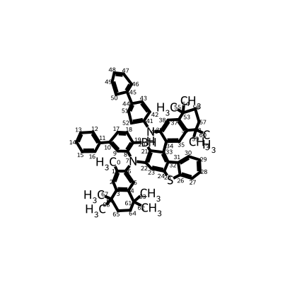 Cc1cc2c(cc1N1c3cc(-c4ccccc4)ccc3Bc3c1cc1sc4ccccc4c1c3-c1cc3c(cc1Nc1ccc(-c4ccccc4)cc1)C(C)(C)CCC3(C)C)C(C)(C)CCC2(C)C